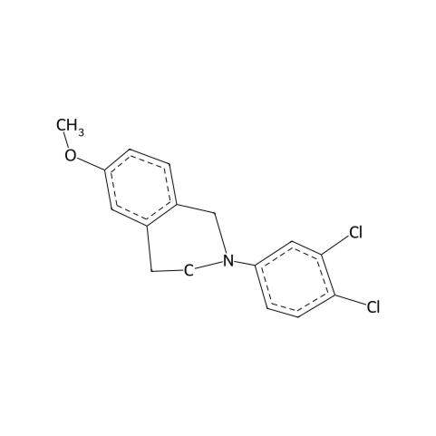 COc1ccc2c(c1)CCN(c1ccc(Cl)c(Cl)c1)C2